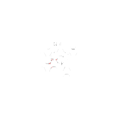 [NaH].c1ccc(-c2cccc(CP(c3ccccc3)c3ccccc3)c2CP(c2ccccc2)c2ccccc2)cc1